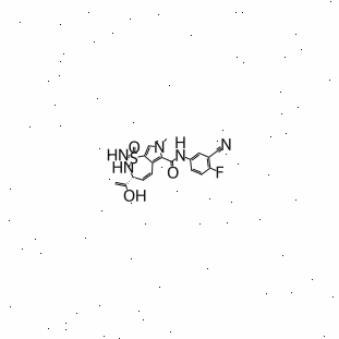 C=C(O)[C@H]1C=Cc2c(cn(C)c2C(=O)Nc2ccc(F)c(C#N)c2)S(=N)(=O)N1